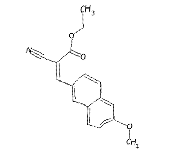 CCOC(=O)C(C#N)=Cc1ccc2cc(OC)ccc2c1